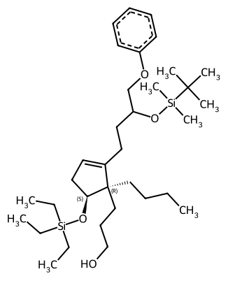 CCCC[C@@]1(CCCO)C(CCC(COc2ccccc2)O[Si](C)(C)C(C)(C)C)=CC[C@@H]1O[Si](CC)(CC)CC